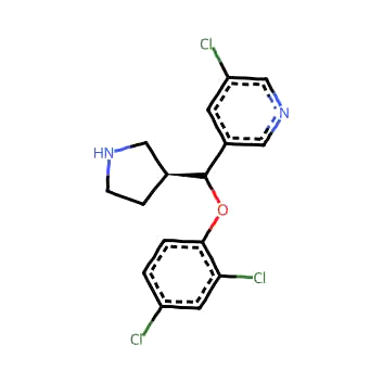 Clc1cncc(C(Oc2ccc(Cl)cc2Cl)[C@H]2CCNC2)c1